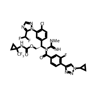 CNC(=N)N(C(=O)c1ccc(-c2cn(C3CC3)nn2)c(F)c1)[C@H](COC(=O)NC1(C(F)(F)F)CC1)c1ccc(Cl)c(-n2ncnc2C(F)F)c1